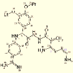 C=C(C(=O)NNC(=O)C(Nc1ccc(C(=N)N)cc1)c1ccc(OC(C)C)c(OCC)c1)/C(N)=C\C=C/N